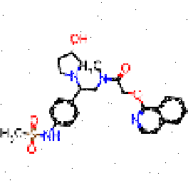 CN(C[C@@H](c1ccc(NS(C)(=O)=O)cc1)N1CC[C@H](O)C1)C(=O)COc1nccc2ccccc12